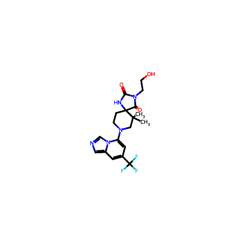 CC1(C)CN(c2cc(C(F)(F)F)cc3cncn23)CCC12NC(=O)N(CCO)C2=O